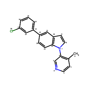 Cc1ccncc1-n1ccc2cc(-c3cccc(Cl)c3)ccc21